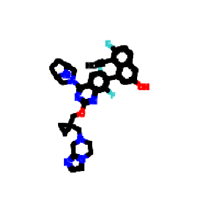 C#Cc1c(F)ccc2cc(O)cc(-c3c(F)cc4c(N5CC6CCC(C5)N6)nc(OCC5(CN6CCn7ccnc7C6)CC5)nc4c3F)c12